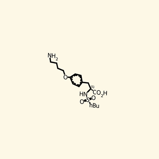 CCCCS(=O)(=O)N[C@@H](Cc1ccc(OCCCCN)cc1)C(=O)O